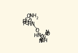 NC(=O)c1cc(CNCCCCOCCNc2cc(-c3cnoc3)nc3[nH]ncc23)cc(OC(F)(F)F)c1